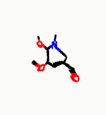 COC1=C(OC)N(C)CC(C=O)=C1